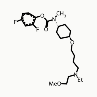 CCN(CCCCO[C@H]1CC[C@H](N(C)C(=O)Oc2ccc(F)cc2F)CC1)CCOC